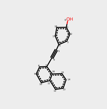 Oc1ccc(C#Cc2cccc3ccccc23)cc1